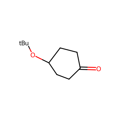 CC(C)(C)OC1CCC(=O)CC1